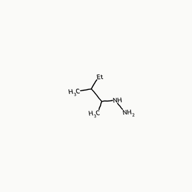 CCC(C)C(C)NN